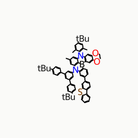 Cc1cc2c3c(c1)N(c1c(C)cc(C(C)(C)C)cc1C)c1cc4c(cc1B3c1ccc(-c3ccc5c(c3)sc3ccccc35)cc1N2c1cc(-c2ccc(C(C)(C)C)cc2)cc(-c2ccc(C(C)(C)C)cc2)c1)OCCO4